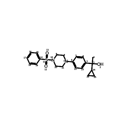 CC(O)(c1ccc(N2CCN(S(=O)(=O)c3ccccc3)CC2)cc1)C1CC1